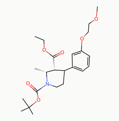 CCOC(=O)[C@@H]1C(c2cccc(OCCOC)c2)CCN(C(=O)OC(C)(C)C)[C@@H]1C